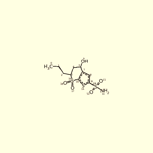 CCCC1CC(O)c2cc(S(N)(=O)=O)sc2S1(=O)=O